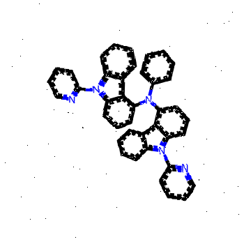 c1ccc(N(c2cccc3c2c2ccccc2n3-c2ccccn2)c2cccc3c2c2ccccc2n3-c2ccccn2)cc1